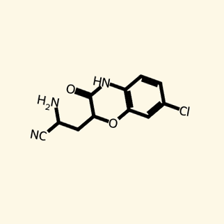 N#CC(N)CC1Oc2cc(Cl)ccc2NC1=O